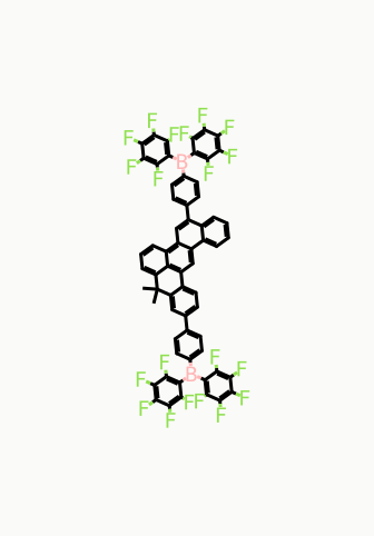 CC1(C)c2cc(-c3ccc(B(c4c(F)c(F)c(F)c(F)c4F)c4c(F)c(F)c(F)c(F)c4F)cc3)ccc2-c2cc3c4ccccc4c(-c4ccc(B(c5c(F)c(F)c(F)c(F)c5F)c5c(F)c(F)c(F)c(F)c5F)cc4)cc3c3cccc1c23